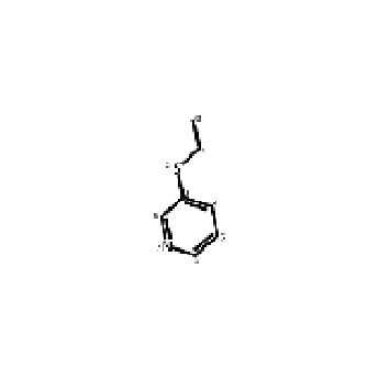 CCSc1cccnc1